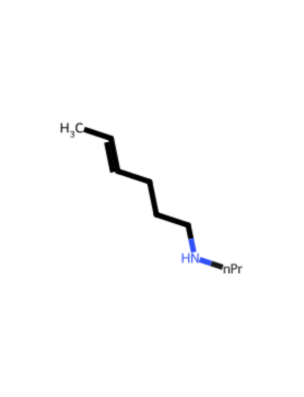 C/C=C/CCCNCCC